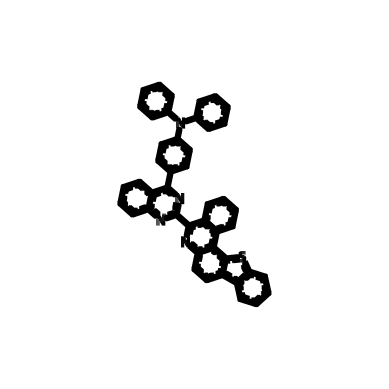 c1ccc(N(c2ccccc2)c2ccc(-c3nc(-c4nc5ccc6c7ccccc7sc6c5c5ccccc45)nc4ccccc34)cc2)cc1